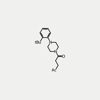 CC(=O)CCC(=O)N1CCN(c2ccccc2C(C)(C)C)CC1